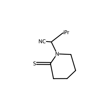 CC(C)C(C#N)N1CCCCC1=S